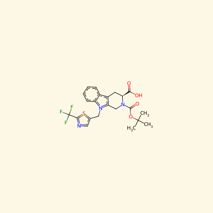 CC(C)(C)OC(=O)N1Cc2c(c3ccccc3n2Cc2cnc(C(F)(F)F)s2)C[C@H]1C(=O)O